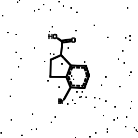 O=C(O)C1CCc2c(Br)cccc21